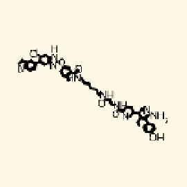 CCc1c(-c2ccc(C(=O)NCCC(=O)NCCCCCCNC(=O)c3cc(Oc4nc5cc(-c6ccc7c(ccn7C)c6)c(Cl)cc5[nH]4)ccc3C)nc2)cnc(N)c1-c1ccc(O)cc1